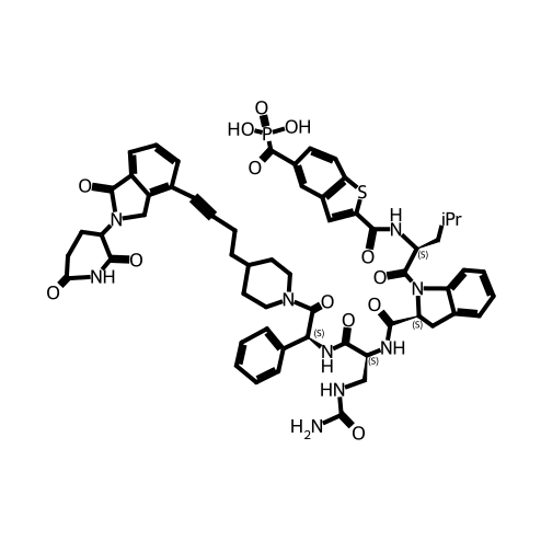 CC(C)C[C@H](NC(=O)c1cc2cc(C(=O)P(=O)(O)O)ccc2s1)C(=O)N1c2ccccc2C[C@H]1C(=O)N[C@@H](CNC(N)=O)C(=O)N[C@H](C(=O)N1CCC(CCC#Cc2cccc3c2CN(C2CCC(=O)NC2=O)C3=O)CC1)c1ccccc1